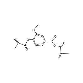 C=C(C)C(=O)OC(=O)c1ccc(OC(=O)C(=C)C)c(OC)c1